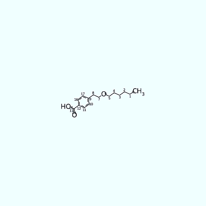 CCCCCCOCCc1ccc(C(=O)O)cc1